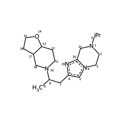 CC(C)N1CCn2cc(CC(C)N3CCC4OCCC4C3)nc2C1